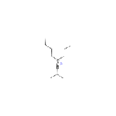 CCCC/C(=B\C(C)C)CCC